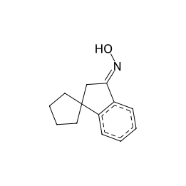 ON=C1CC2(CCCC2)c2ccccc21